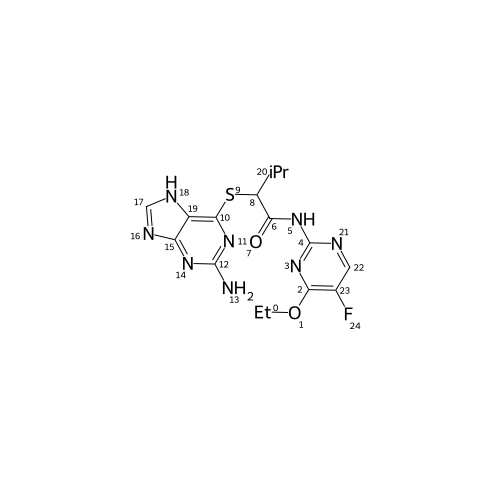 CCOc1nc(NC(=O)C(Sc2nc(N)nc3nc[nH]c23)C(C)C)ncc1F